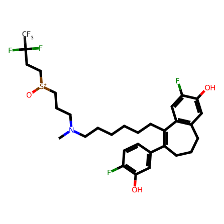 CN(CCCCCCC1=C(c2ccc(F)c(O)c2)CCCc2cc(O)c(F)cc21)CCC[S+]([O-])CCC(F)(F)C(F)(F)F